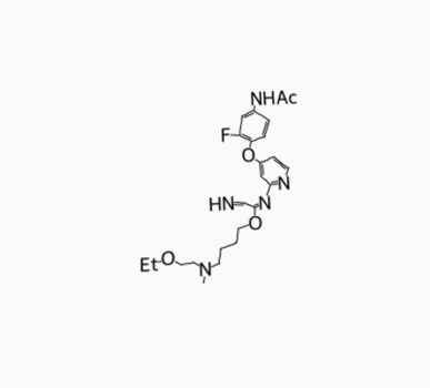 CCOCCN(C)CCCCO/C(C=N)=N/c1cc(Oc2ccc(NC(C)=O)cc2F)ccn1